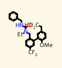 CCN(Cc1ccc(C(F)(F)F)cc1-c1cc(CC(=O)O)ccc1OC)C(=O)NCc1ccccc1